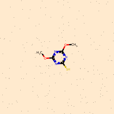 COc1nc(S)nc(OC)n1